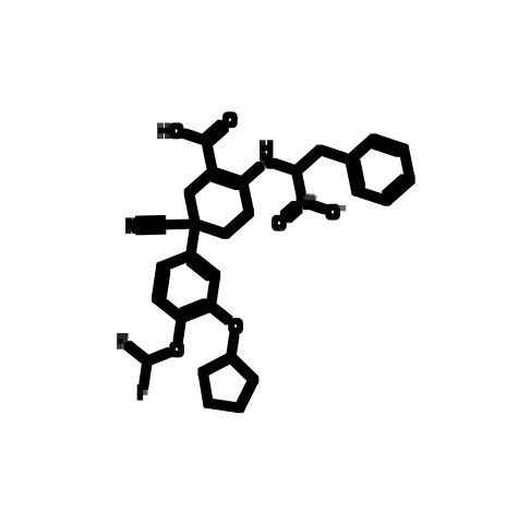 N#CC1(c2ccc(OC(F)F)c(OC3CCCC3)c2)CCC(NC(Cc2ccccc2)[N+](=O)[O-])=C(C(=O)O)C1